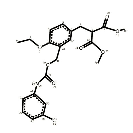 CCOc1ccc(CC(C(=O)OC)C(=O)OC)cc1COC(=O)Nc1cccc(Cl)c1